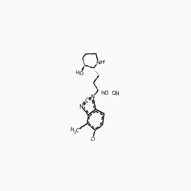 Cc1c(Cl)ccc2c1ncn2CCC[C@H]1NCCC[C@@H]1O.Cl.Cl